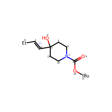 CC/C=C/C1(O)CCN(C(=O)OC(C)(C)C)CC1